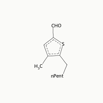 CCCCCCc1sc(C=O)cc1C